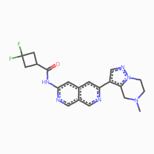 CN1CCn2ncc(-c3cc4cc(NC(=O)C5CC(F)(F)C5)ncc4cn3)c2C1